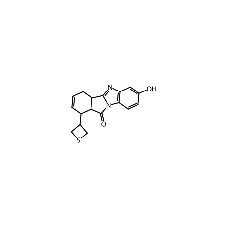 O=C1C2C(CC=CC2C2CSC2)c2nc3cc(O)ccc3n21